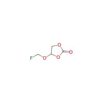 O=C1OCC(OCF)O1